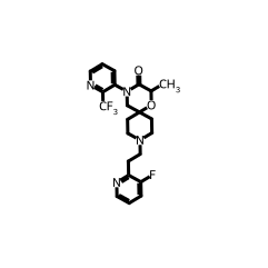 CC1OC2(CCN(CCc3ncccc3F)CC2)CN(c2cccnc2C(F)(F)F)C1=O